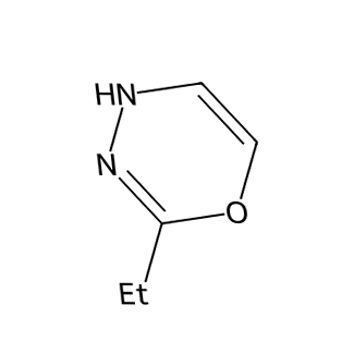 CCC1=NNC=CO1